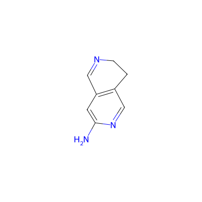 Nc1cc2c(cn1)CCN=C2